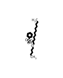 CCCCCCCCCCCCOCCCCC.O=S(=O)(O)c1ccccc1